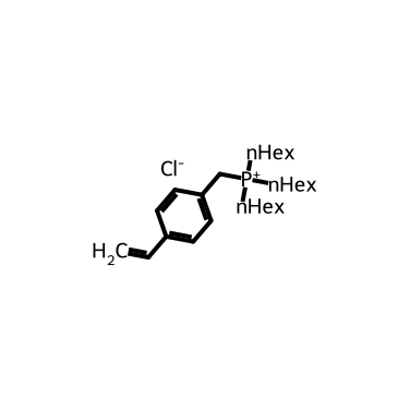 C=Cc1ccc(C[P+](CCCCCC)(CCCCCC)CCCCCC)cc1.[Cl-]